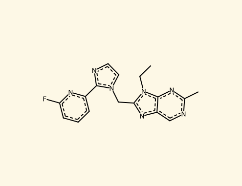 CCn1c(Cn2ccnc2-c2cccc(F)n2)nc2cnc(C)nc21